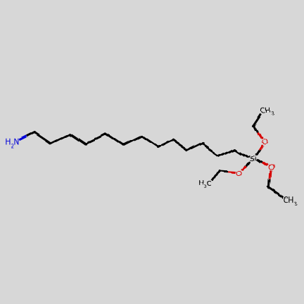 CCO[Si](CCCCCCCCCCCCCN)(OCC)OCC